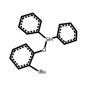 CC(C)(C)c1ccc[c]c1O[SiH](c1ccccc1)c1ccccc1